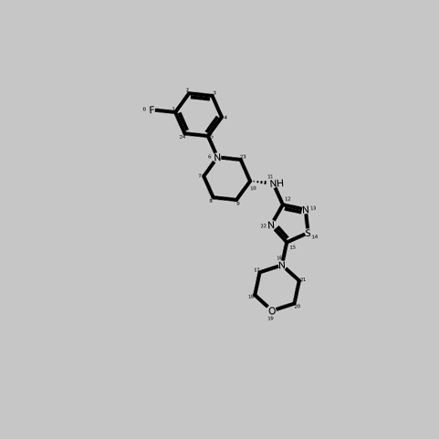 Fc1cccc(N2CCC[C@@H](Nc3nsc(N4CCOCC4)n3)C2)c1